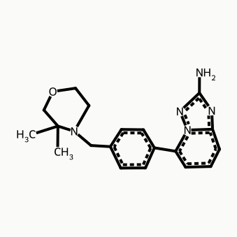 CC1(C)COCCN1Cc1ccc(-c2cccc3nc(N)nn23)cc1